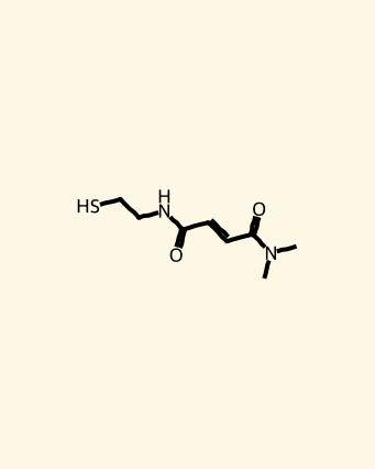 CN(C)C(=O)/C=C/C(=O)NCCS